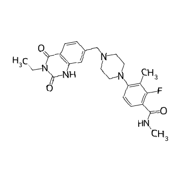 CCn1c(=O)[nH]c2cc(CN3CCN(c4ccc(C(=O)NC)c(F)c4C)CC3)ccc2c1=O